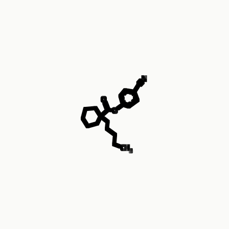 CCCCCC1(C(=O)Oc2ccc(C#N)cc2)CCCCC1